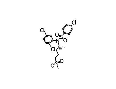 C[C@H](CCCS(C)(=O)=O)N(c1cc(Cl)ccc1Cl)S(=O)(=O)c1ccc(Cl)cc1